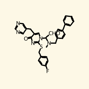 CN(Cc1ccc(-c2ccccc2)cc1)C(C=O)n1cc(Cc2cncnc2)c(=O)nc1SCc1ccc(F)cc1